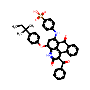 CCC(C)(C)c1ccc(Oc2cc(Nc3ccc(S(=O)(=O)O)cc3)c3c4c(c(C(=O)c5ccccc5)c(=O)[nH]c24)-c2ccccc2C3=O)cc1